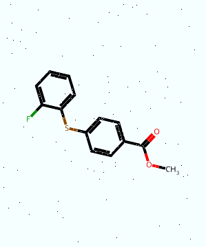 COC(=O)c1ccc(Sc2ccccc2F)cc1